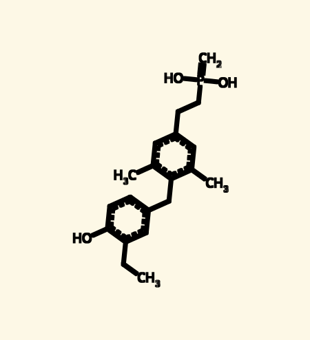 C=P(O)(O)CCc1cc(C)c(Cc2ccc(O)c(CC)c2)c(C)c1